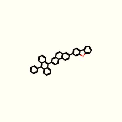 c1ccc(-c2c3ccccc3c(-c3ccc4c(ccc5cc(-c6ccc7c(c6)oc6ccccc67)ccc54)c3)c3ccccc23)cc1